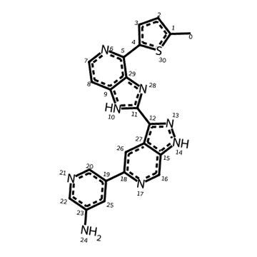 Cc1ccc(-c2nccc3[nH]c(-c4n[nH]c5cnc(-c6cncc(N)c6)cc45)nc23)s1